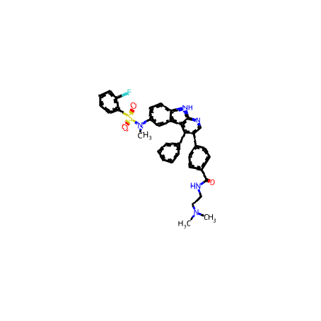 CN(C)CCNC(=O)c1ccc(-c2cnc3[nH]c4ccc(N(C)S(=O)(=O)c5ccccc5F)cc4c3c2-c2ccccc2)cc1